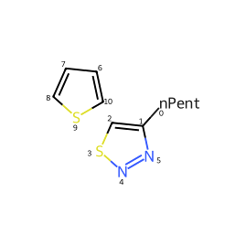 CCCCCc1csnn1.c1ccsc1